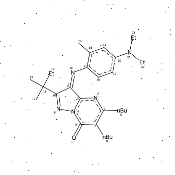 CCCCc1nc2n(c(=O)c1CCCC)N=C(C(C)(C)CC)C2=Nc1ccc(N(CC)CC)cc1C